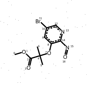 COC(=O)C(C)(C)Oc1cc(Br)cnc1N=O